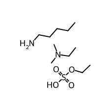 CCCCCN.CCN(C)C.CCOS(=O)(=O)O